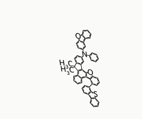 CC1(C)c2ccc(N(c3ccccc3)c3ccc4oc5ccccc5c4c3)cc2-c2c1c1ccccc1c1c2oc2cccc(-c3cccc4c3sc3ccccc34)c21